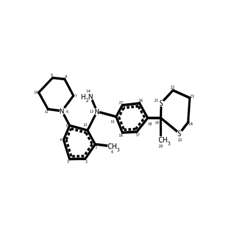 Cc1cccc(N2CCCCC2)c1N(N)c1ccc(C2(C)SCCCS2)cc1